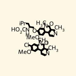 COc1cc2c3ccnc(C)c3c(=O)n(C)c2cc1Cl.COc1cc2c3ccnc(C)c3c(=O)n(C)c2cc1OCC(CC(C)C)NC(=O)O